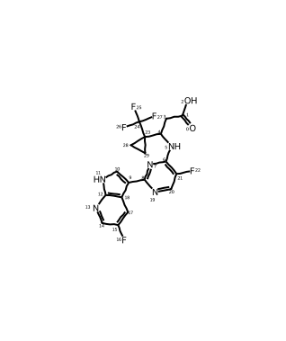 O=C(O)CC(Nc1nc(-c2c[nH]c3ncc(F)cc23)ncc1F)C1(C(F)(F)F)CC1